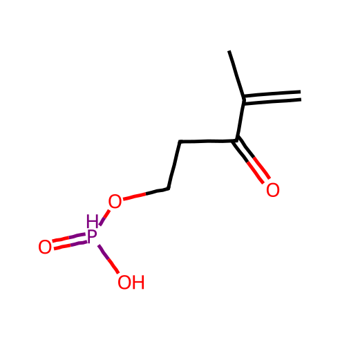 C=C(C)C(=O)CCO[PH](=O)O